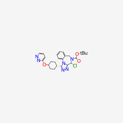 CC(C)(C)OC(=O)N1Cc2ccccc2-n2c(nnc2[C@H]2CC[C@H](Oc3cccnn3)CC2)C1Cl